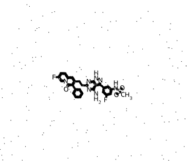 CS(=O)(=O)Nc1cc(F)cc(-c2n[nH]c3nc(CCc4cc5ccc(F)cn5c(=O)c4-c4ccccc4)nc(N)c23)c1